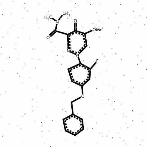 COc1cn(-c2ccc(OCc3ccccc3)cc2F)nc(C(=O)N(C)C)c1=O